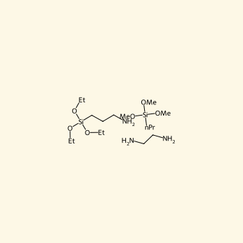 CCC[Si](OC)(OC)OC.CCO[Si](CCCN)(OCC)OCC.NCCN